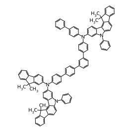 CC1(C)c2ccccc2-c2ccc(N(c3ccc(-c4ccc(-c5cccc(-c6ccc(N(c7ccc(-c8ccccc8)cc7)c7ccc8c9c%10c(ccc9n(-c9ccccc9)c8c7)-c7ccccc7C%10(C)C)cc6)c5)cc4)cc3)c3ccc4c5c6c(ccc5n(-c5ccccc5)c4c3)-c3ccccc3C6(C)C)cc21